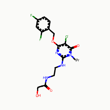 CC(C)n1c(NCCNC(=O)CO)nc(OCc2ccc(F)cc2F)c(Cl)c1=O